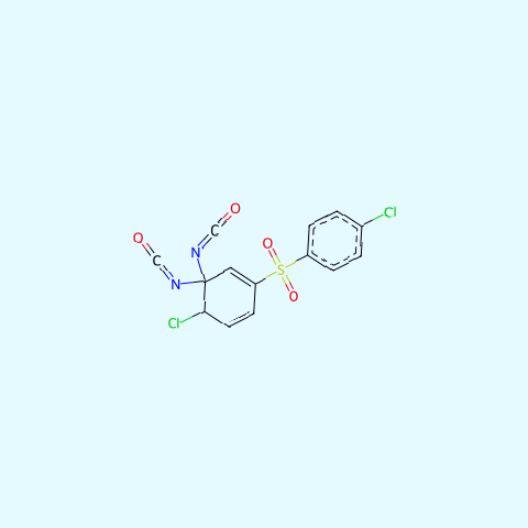 O=C=NC1(N=C=O)C=C(S(=O)(=O)c2ccc(Cl)cc2)C=CC1Cl